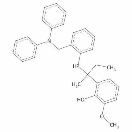 CCC(C)(Pc1ccccc1CN(c1ccccc1)c1ccccc1)c1cccc(OC)c1O